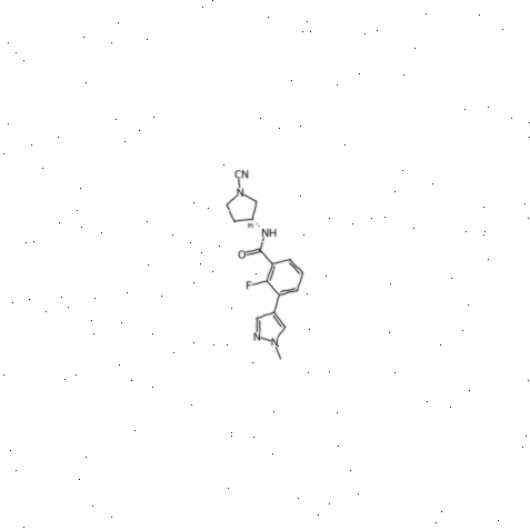 Cn1cc(-c2cccc(C(=O)N[C@@H]3CCN(C#N)C3)c2F)cn1